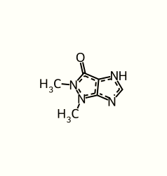 Cn1c(=O)c2[nH]cnc2n1C